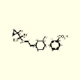 CCC(OCCN1CC[C@@H](c2cccc(C(=O)O)c2)[C@H](C)C1)(C(C)=O)C1(C)CC1